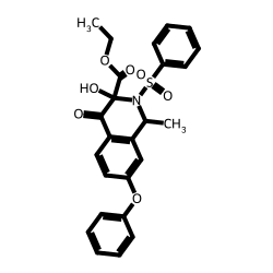 CCOC(=O)C1(O)C(=O)c2ccc(Oc3ccccc3)cc2C(C)N1S(=O)(=O)c1ccccc1